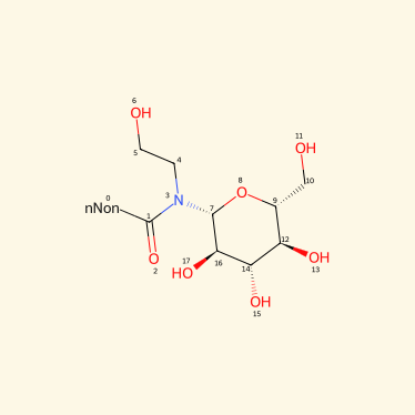 CCCCCCCCCC(=O)N(CCO)[C@@H]1O[C@H](CO)[C@@H](O)[C@H](O)[C@H]1O